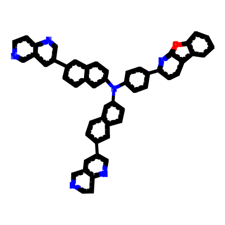 c1ccc2c(c1)oc1nc(-c3ccc(N(c4ccc5cc(-c6cnc7ccncc7c6)ccc5c4)c4ccc5cc(-c6cnc7ccncc7c6)ccc5c4)cc3)ccc12